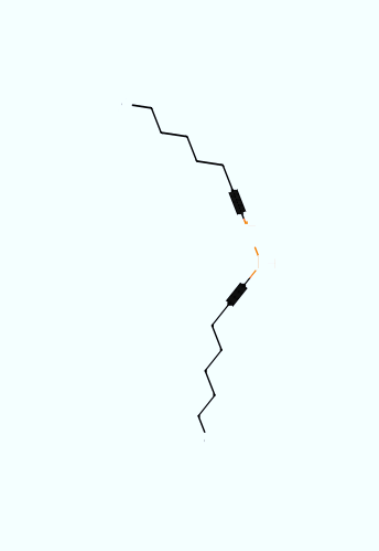 CCCCCCC#CP[PH3]C#CCCCCCC